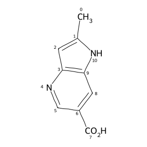 Cc1cc2ncc(C(=O)O)cc2[nH]1